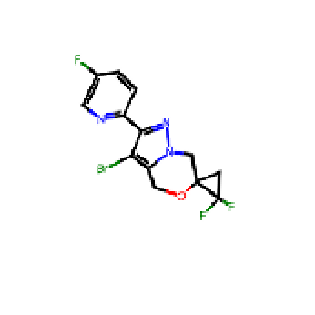 Fc1ccc(-c2nn3c(c2Br)COC2(C3)CC2(F)F)nc1